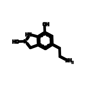 NCCc1cc(O)c2c(c1)CN(O)N2